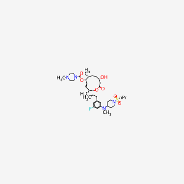 C=C(Cc1cc(F)cc(N(C)C2CCN(S(=O)(=O)CCC)CC2)c1)[C@H]1OC(=O)C[C@@H](O)CC[C@@H](C)[C@@H](OC(=O)N2CCN(C)CC2)/C=C/[C@@H]1C